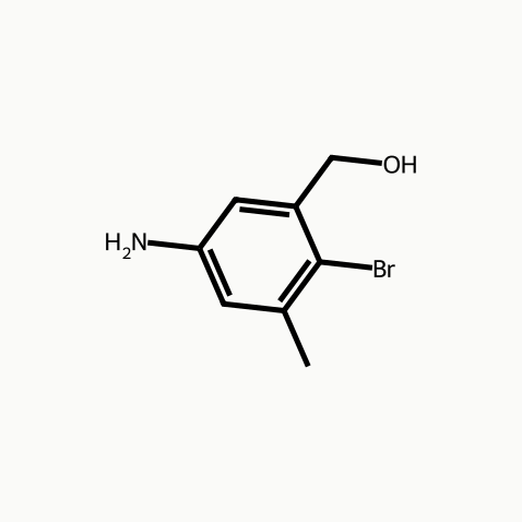 Cc1cc(N)cc(CO)c1Br